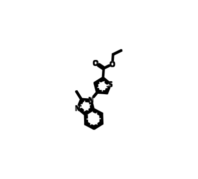 CCOC(=O)c1cc(-n2c(C)nc3ccccc32)cs1